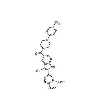 CCc1c(-c2ccc(OC)c(OC)c2)[nH]c2ccc(C(=O)N3CCN(c4ccc(C(F)(F)F)cn4)CC3)cc12